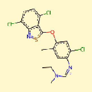 CCN(C)/C=N\c1cc(C)c(Oc2snc3c(Cl)ccc(Cl)c23)cc1Cl